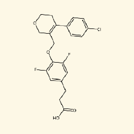 O=C(O)CCc1cc(F)c(OCC2=C(c3ccc(Cl)cc3)CCOC2)c(F)c1